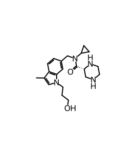 Cc1cn(CCCO)c2cc(CN(C(=O)[C@H]3CNCCN3)C3CC3)ccc12